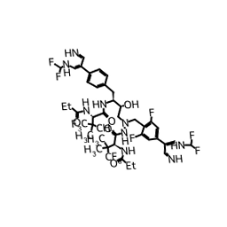 CCC(=O)N[C@H](C(=O)N[C@@H](Cc1ccc(/C(C=N)=C/NC(F)F)cc1)[C@@H](O)CN(Cc1c(F)cc(/C(C=N)=C/NC(F)F)cc1F)NC(=O)[C@@H](NC(=O)CC)C(C)(C)C(F)(F)F)C(C)(C)C(F)(F)F